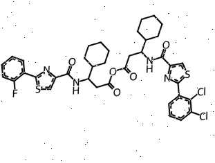 O=C(CC(NC(=O)c1csc(-c2ccccc2F)n1)C1CCCCC1)OC(=O)CC(NC(=O)c1csc(-c2cccc(Cl)c2Cl)n1)C1CCCCC1